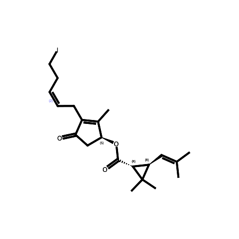 CC(C)=C[C@@H]1[C@@H](C(=O)O[C@H]2CC(=O)C(C/C=C\CCI)=C2C)C1(C)C